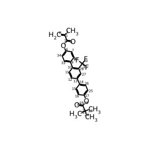 C=C(C)C(=O)Oc1ccc(-c2ccc(-c3ccc(OC(=O)C(C)(C)C)cc3)cc2C(F)(F)F)cc1